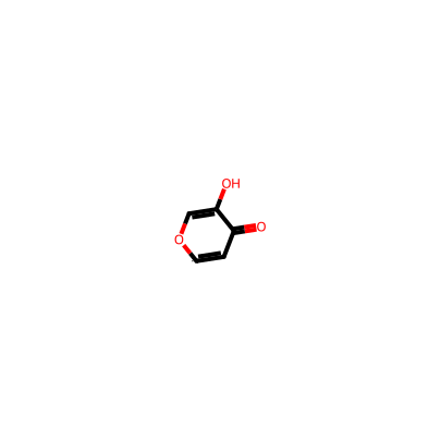 O=c1c[c]occ1O